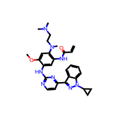 C=CC(=O)Nc1cc(Nc2nccc(-c3nn(C4CC4)c4ccccc34)n2)c(OC)cc1N(C)CCN(C)C